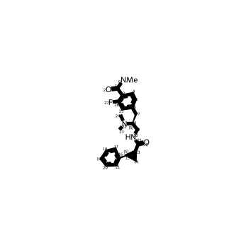 CNC(=O)c1ccc(C[C@@H](CNC(=O)C2=C[C@H]2c2ccccc2)N(C)C)cc1F